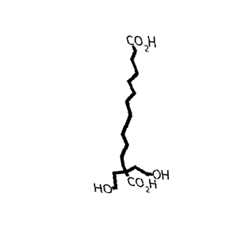 O=C(O)CCCCCCCCCCC(CCO)(CCO)C(=O)O